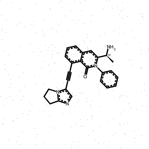 C[C@H](N)c1cc2cccc(C#Cc3cnc4n3CCC4)c2c(=O)n1-c1ccccc1